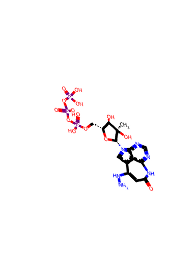 C[C@@]1(O)[C@H](O)[C@@H](COP(=O)(O)OP(=O)(O)OP(=O)(O)O)O[C@H]1n1cc2c3c(ncnc31)NC(=O)C=C2NN